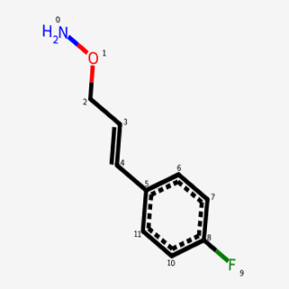 NOC/C=C/c1ccc(F)cc1